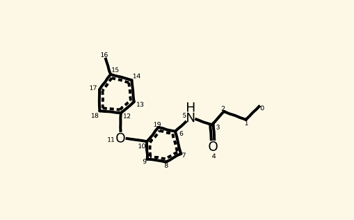 CCCC(=O)Nc1cccc(Oc2ccc(C)cc2)c1